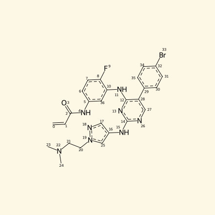 C=CC(=O)Nc1ccc(F)c(Nc2nc(Nc3cnn(CCN(C)C)c3)ncc2-c2ccc(Br)cc2)c1